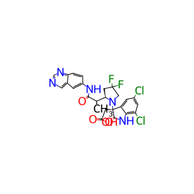 C[C@@H](C(=O)Nc1ccc2ncncc2c1)[C@H]1CC(F)(F)CN1[C@@]1(CC(=O)O)C(=O)Nc2c(Cl)cc(Cl)cc21